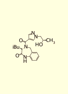 CC[C@H](C)[C@H]1C(=O)Nc2ccccc2CN1C(=O)c1cnn(C[C@@H](C)O)c1